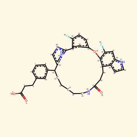 O=C(O)CCc1cccc(C2CCCCCNC(=O)CCc3c(c(F)cc4[nH]ccc34)Oc3ccc(F)c(c3)-c3ncc2[nH]3)c1